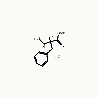 COC(=O)C(C)(Cc1ccccc1)NN.Cl